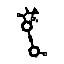 CN(C(=O)c1ccc(C#Cc2cccc(Cl)c2)cn1)C1(C(F)(F)F)CC1